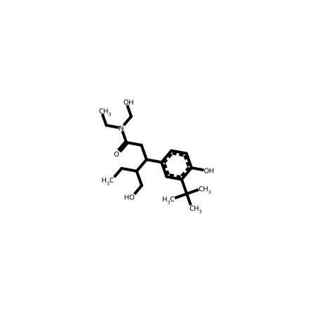 CCC(CO)C(CC(=O)N(CC)CO)c1ccc(O)c(C(C)(C)C)c1